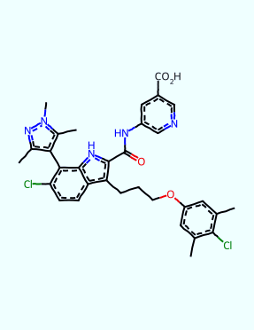 Cc1cc(OCCCc2c(C(=O)Nc3cncc(C(=O)O)c3)[nH]c3c(-c4c(C)nn(C)c4C)c(Cl)ccc23)cc(C)c1Cl